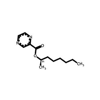 CCCCCC[C@@H](C)OC(=O)c1cnccn1